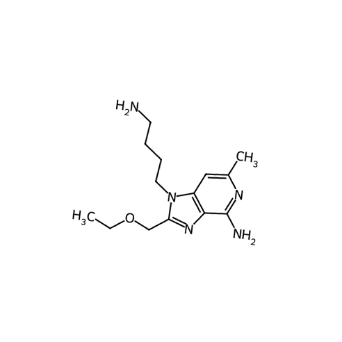 CCOCc1nc2c(N)nc(C)cc2n1CCCCN